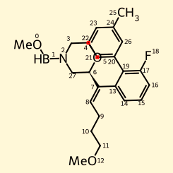 COBN1CCO[C@@H](C(=CCCCOC)c2cccc(F)c2-c2cccc(C)c2)C1